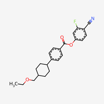 CCOCC1CCC(c2ccc(C(=O)Oc3ccc(C#N)c(F)c3)cc2)CC1